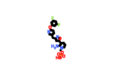 Nc1c(-c2cc(Cc3ccc(Oc4cc(F)cc(F)c4)nc3)no2)ccc[n+]1COP(=O)([O-])O